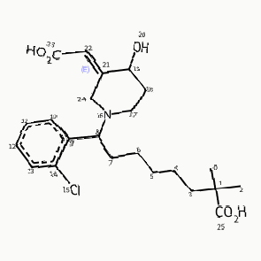 CC(C)(CCCCCC(c1ccccc1Cl)N1CCC(O)/C(=C/C(=O)O)C1)C(=O)O